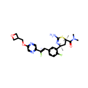 CN(C)C(=O)[C@@]1(C)C[C@@](C)(c2cc(/C=C(\F)c3cnc(OCC4COC4)cn3)ccc2F)N=C(N)S1